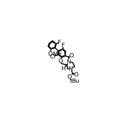 COc1cccc(F)c1-c1c(F)cc2c(c1Cl)OC[C@H]1CN(C(=O)OC(C)(C)C)CCN1C2=O